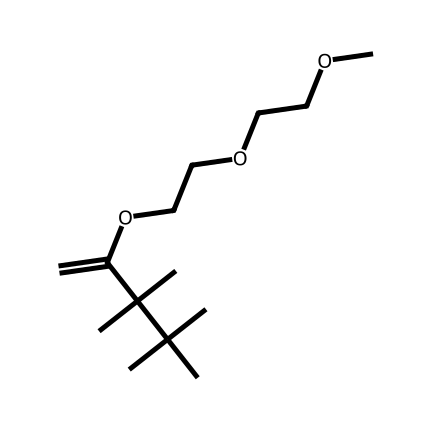 C=C(OCCOCCOC)C(C)(C)C(C)(C)C